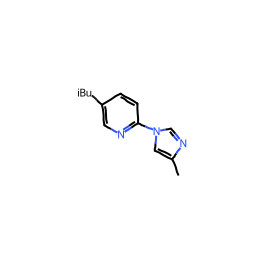 CCC(C)c1ccc(-n2cnc(C)c2)nc1